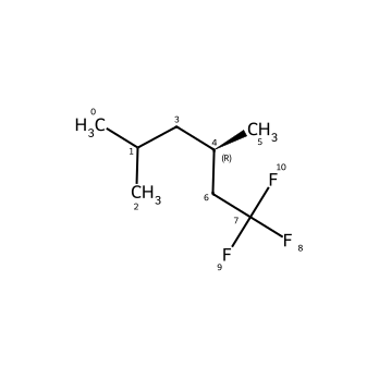 CC(C)C[C@@H](C)CC(F)(F)F